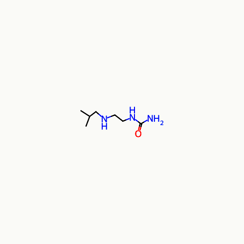 CC(C)CNCCNC(N)=O